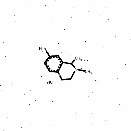 CC1c2cc(N)ccc2CCN1C.Cl